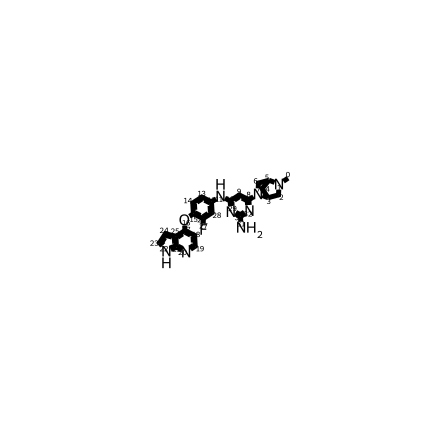 CN1CC2CC1CN2c1cc(Nc2ccc(Oc3ccnc4[nH]ccc34)c(F)c2)nc(N)n1